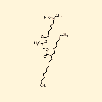 CCCCCCCCCC(CCCCCCC)C(=O)OCC(C)OC(=O)CCCCCN(C)C